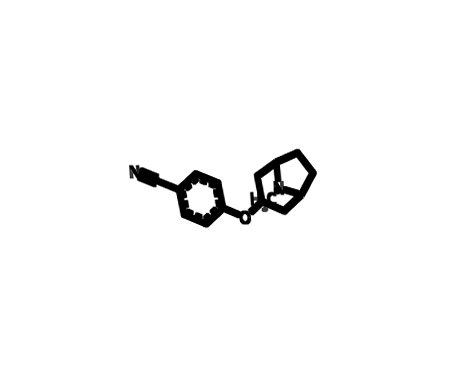 CN1C2CCC1CC(Oc1ccc(C#N)cc1)C2